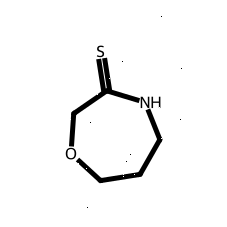 S=C1COCCCN1